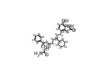 C[C@H](CN(CCC(N)=O)CCN(CCc1ccc(O)c2[nH]c(=O)sc12)C1CCCCC1)c1ccccc1